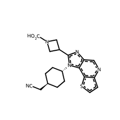 N#CC[C@H]1CC[C@H](n2c(C3CN(C(=O)O)C3)nc3cnc4ccsc4c32)CC1